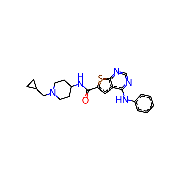 O=C(NC1CCN(CC2CC2)CC1)c1cc2c(Nc3ccccc3)ncnc2s1